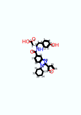 O=C(O)C[C@H](Cc1ccc(O)cc1)NC(=O)c1ccc2c(c1)nc(-c1ccoc1)n2C1CCCCC1